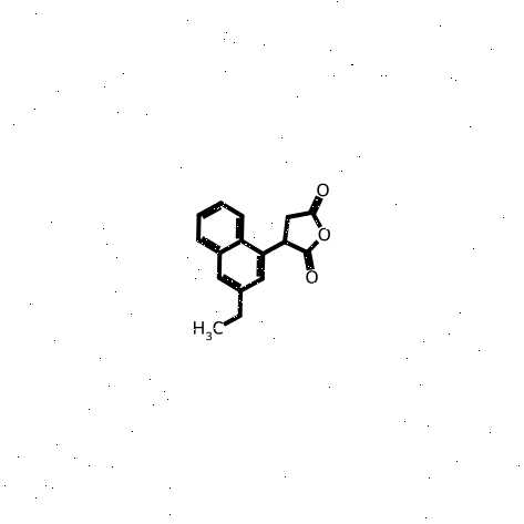 CCc1cc(C2CC(=O)OC2=O)c2ccccc2c1